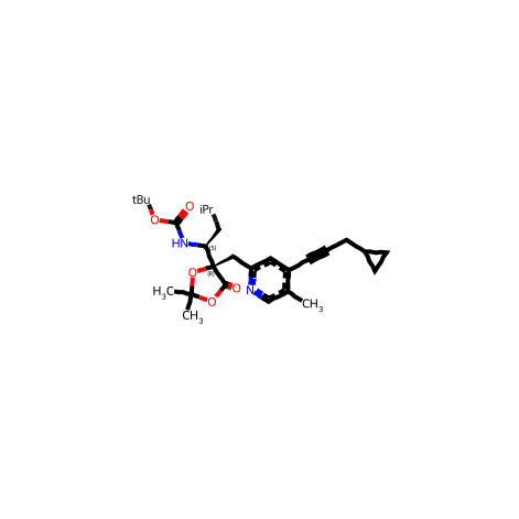 Cc1cnc(C[C@]2([C@H](CC(C)C)NC(=O)OC(C)(C)C)OC(C)(C)OC2=O)cc1C#CCC1CC1